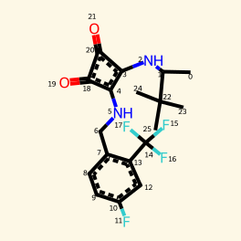 CC(Nc1c(NCc2ccc(F)cc2C(F)(F)F)c(=O)c1=O)C(C)(C)C